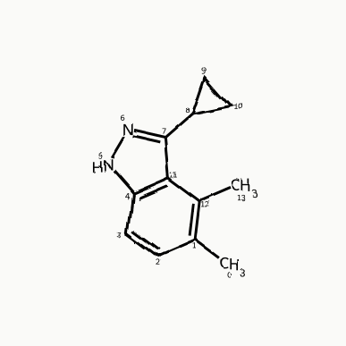 Cc1ccc2[nH]nc(C3CC3)c2c1C